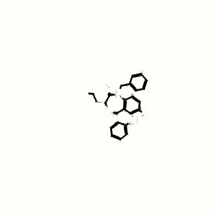 O=C(O)CC[C@@H]1O[C@@H](c2ccccc2Cl)c2cc(Cl)ccc2N(Cc2ccccc2)C1=O